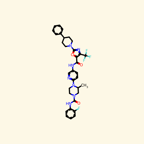 CC1CN(C(=O)Nc2ccccc2F)CCN1c1ccc(NC(=O)c2oc(N3CCC(c4ccccc4)CC3)nc2C(F)(F)F)cn1